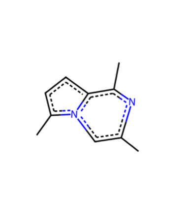 Cc1cn2c(C)ccc2c(C)n1